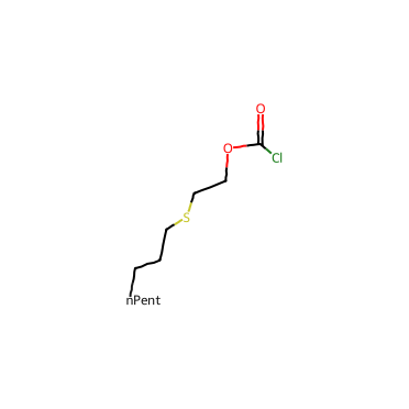 CCCCCCCCSCCOC(=O)Cl